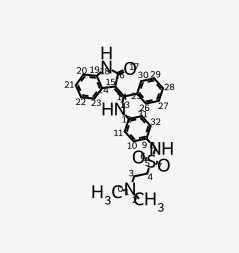 CN(C)CCS(=O)(=O)Nc1ccc(NC(=C2C(=O)Nc3ccccc32)c2ccccc2)cc1